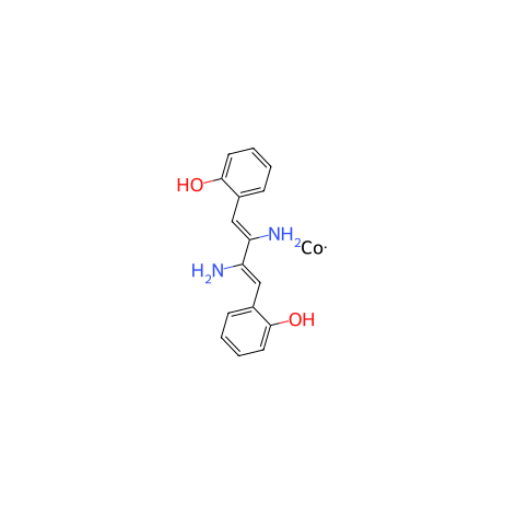 NC(=C\c1ccccc1O)/C(N)=C/c1ccccc1O.[Co]